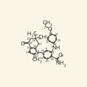 CCOc1ccc(Nc2cc(-n3c(C)cc4c3CC(C)(C)CC4=O)ccc2C(N)=O)cc1